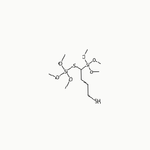 CO[Si](OC)(OC)SC(CCCS)[Si](OC)(OC)OC